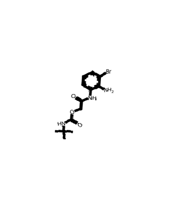 CC(C)(C)NC(=O)OCC(=O)Nc1cccc(Br)c1N